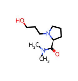 CN(C)C(=O)[C@@H]1CCCN1CCCO